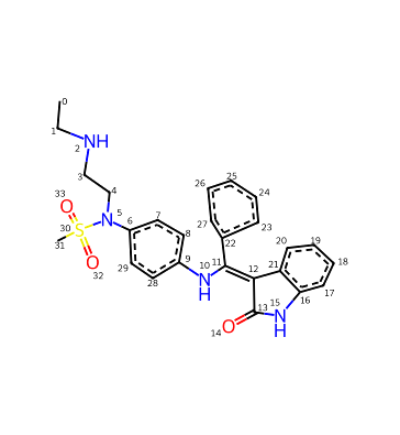 CCNCCN(c1ccc(N/C(=C2\C(=O)Nc3ccccc32)c2ccccc2)cc1)S(C)(=O)=O